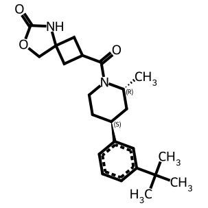 C[C@@H]1C[C@@H](c2cccc(C(C)(C)C)c2)CCN1C(=O)C1CC2(COC(=O)N2)C1